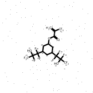 C=C(C(=O)OC1CC(C(F)(F)C(O)(F)C(F)(F)F)CC(C(F)(F)C(O)(F)C(F)(F)F)C1)C(F)(F)F